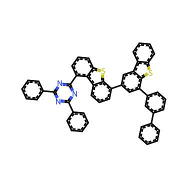 c1ccc(-c2cccc(-c3cc(-c4cccc5c4sc4cccc(-c6nc(-c7ccccc7)nc(-c7ccccc7)n6)c45)cc4c3sc3ccccc34)c2)cc1